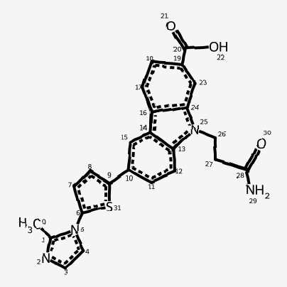 Cc1nccn1-c1ccc(-c2ccc3c(c2)c2ccc(C(=O)O)cc2n3CCC(N)=O)s1